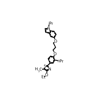 CCCc1cc(-c2nc(OCC)c(C)s2)ccc1OCCCOc1ccc2c(ccn2C(C)C)c1